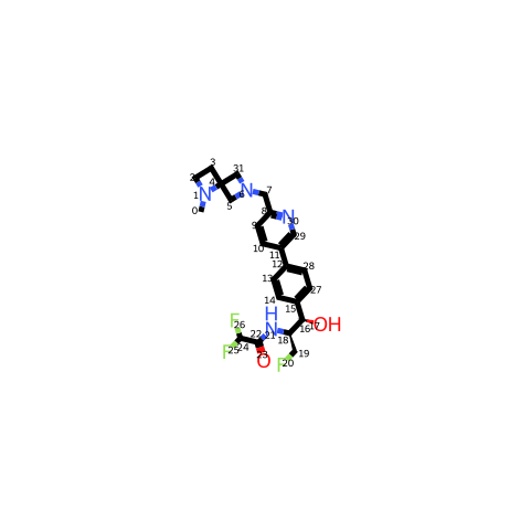 CN1CCC12CN(Cc1ccc(-c3ccc([C@@H](O)[C@@H](CF)NC(=O)C(F)F)cc3)cn1)C2